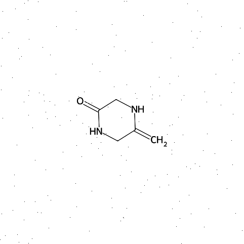 C=C1CNC(=O)CN1